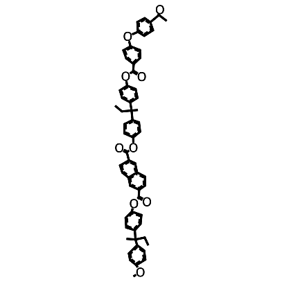 CCC(C)(c1ccc(OC)cc1)c1ccc(OC(=O)c2ccc3cc(C(=O)Oc4ccc(C(C)(CC)c5ccc(OC(=O)c6ccc(Oc7ccc(C(C)=O)cc7)cc6)cc5)cc4)ccc3c2)cc1